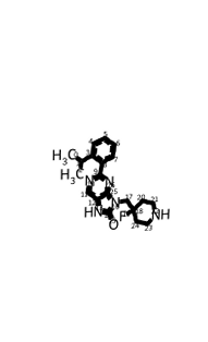 CC(C)c1ccccc1-c1ncc2[nH]c(=O)n(CC3(F)CCNCC3)c2n1